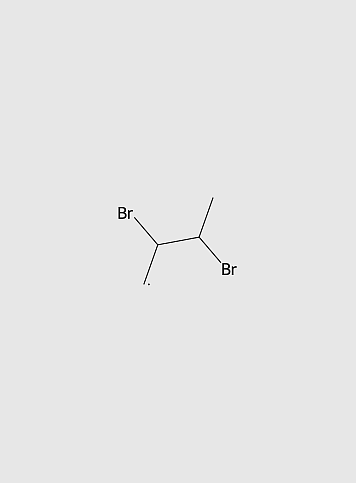 [CH2]C(Br)C(C)Br